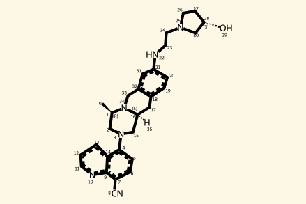 C[C@@H]1CN(c2ccc(C#N)c3ncccc23)C[C@@H]2Cc3ccc(NCCN4CC[C@H](O)C4)cc3CN21